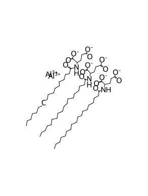 CCCCCCCCCCCCCCCCCC(=O)NC(CCC(=O)[O-])C(=O)[O-].CCCCCCCCCCCCCCCCCC(=O)NC(CCC(=O)[O-])C(=O)[O-].CCCCCCCCCCCCCCCCCC(=O)NC(CCC(=O)[O-])C(=O)[O-].[Al+3].[Al+3]